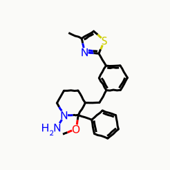 COC1(c2ccccc2)C(Cc2cccc(-c3nc(C)cs3)c2)CCCN1N